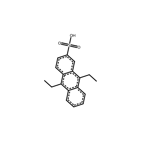 CCc1c2ccccc2c(CC)c2cc(S(=O)(=O)O)ccc12